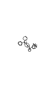 O=C(c1ccnnc1)N1CCN(C(C2=CC=CCC2)c2ccccc2)CC1